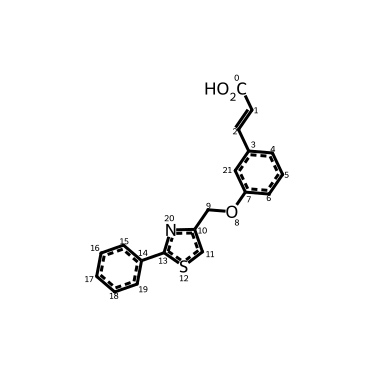 O=C(O)/C=C/c1cccc(OCc2csc(-c3ccccc3)n2)c1